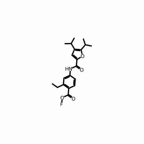 CCc1cc(NC(=O)c2cc(C(C)C)c(C(C)C)o2)ccc1C(=O)OF